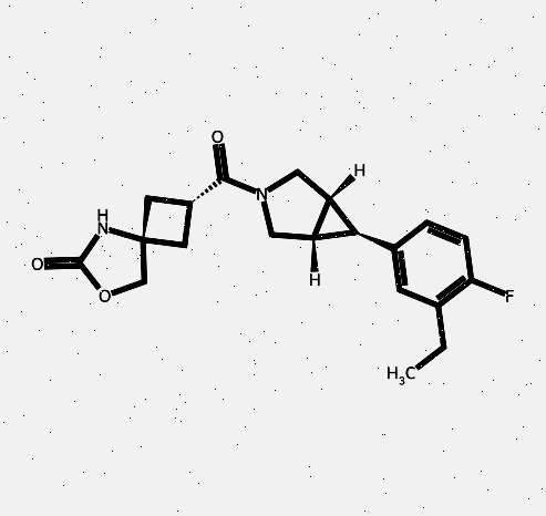 CCc1cc([C@H]2[C@@H]3CN(C(=O)[C@H]4C[C@]5(COC(=O)N5)C4)C[C@@H]32)ccc1F